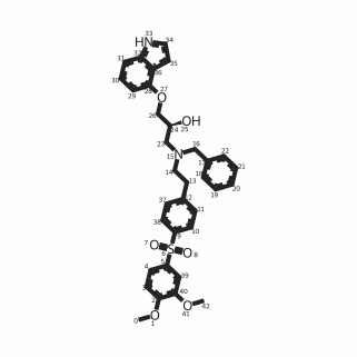 COc1ccc(S(=O)(=O)c2ccc(CCN(Cc3ccccc3)C[C@H](O)COc3cccc4[nH]ccc34)cc2)cc1OC